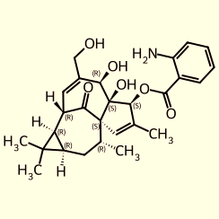 CC1=C[C@]23C(=O)[C@@H](C=C(CO)[C@@H](O)[C@]2(O)[C@H]1OC(=O)c1ccccc1N)[C@H]1[C@@H](C[C@H]3C)C1(C)C